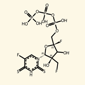 O=P(O)(O)OP(=O)(O)OP(=O)(O)OC[C@@]1(F)O[C@@H](n2cc(F)c(=S)[nH]c2=S)[C@@](O)(CF)C1O